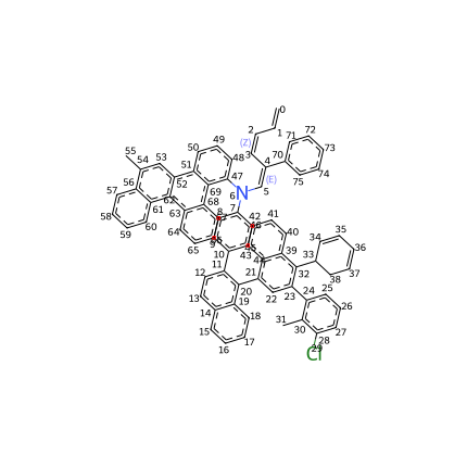 C=C/C=C\C(=C/N(c1ccc(-c2ccc3ccccc3c2-c2cc(-c3cccc(Cl)c3C)c(C3C=CC=CC3)c3ccccc23)cc1)c1cccc2c3cc(C)c4ccccc4c3c3ccccc3c12)c1ccccc1